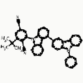 CC(C)(C)c1cc(C#N)cc(-n2c3ccccc3c3c(-c4ccc5c(c4)c4ccccc4n5-c4ccccc4)cccc32)c1C#N